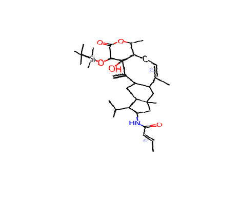 C=C1C2CC3C(C(C)C)C(NC(=O)/C=C/C)CC3(C)CC2/C(C)=C\CC2C(C)OC(=O)C(O[Si](C)(C)C(C)(C)C)C12O